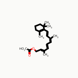 CC(C=C/C=C(/C)C=CC1=C(C)CCCC1(C)C)=CCOC(=O)C(=O)O